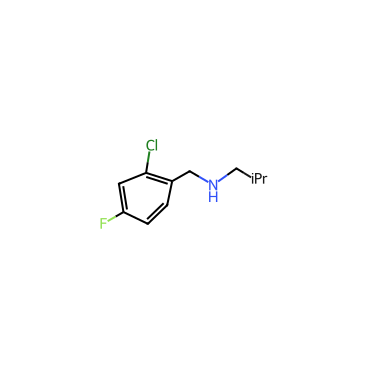 CC(C)CNCc1ccc(F)cc1Cl